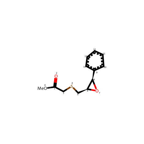 COC(=O)CSC[C@@H]1O[C@@H]1c1ccccc1